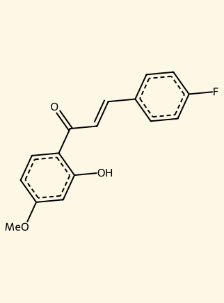 COc1ccc(C(=O)/C=C/c2ccc(F)cc2)c(O)c1